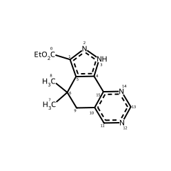 CCOC(=O)c1n[nH]c2c1C(C)(C)Cc1cncnc1-2